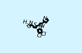 NC(=O)c1ccc(-c2cc(-c3cccnc3)nn2-c2ccc(Cl)c(Cl)c2)s1